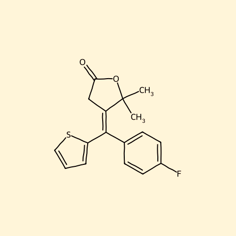 CC1(C)OC(=O)CC1=C(c1ccc(F)cc1)c1cccs1